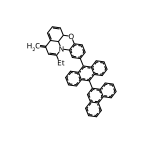 C=C1C=C(CC)N2c3cc(-c4c5ccccc5c(-c5cc6ccccc6c6ccccc56)c5ccccc45)ccc3OC3C=CC=C1C32